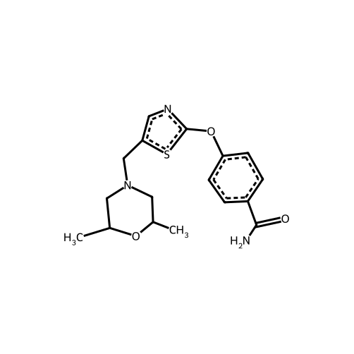 CC1CN(Cc2cnc(Oc3ccc(C(N)=O)cc3)s2)CC(C)O1